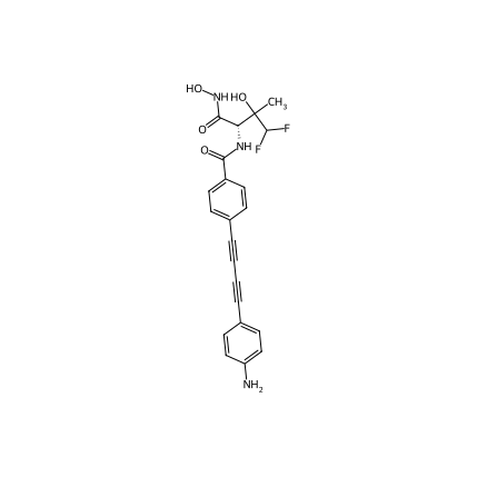 CC(O)(C(F)F)[C@H](NC(=O)c1ccc(C#CC#Cc2ccc(N)cc2)cc1)C(=O)NO